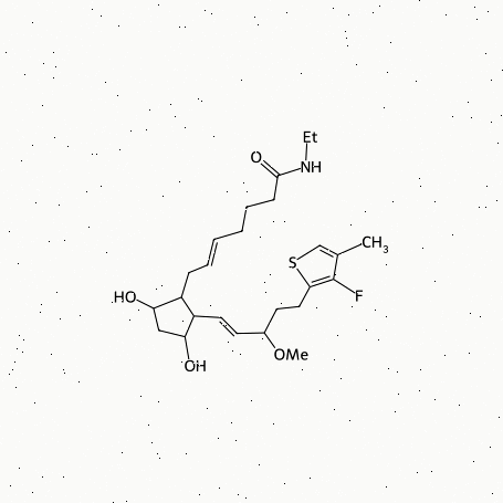 CCNC(=O)CCCC=CCC1C(O)CC(O)C1C=CC(CCc1scc(C)c1F)OC